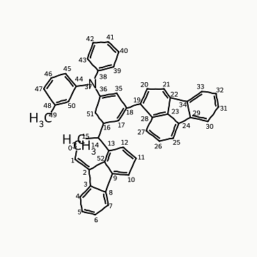 C/C=C1/c2ccccc2-c2cccc(C(C)C3C=C(c4ccc5c6c(cccc46)-c4ccccc4-5)C=C(N(c4ccccc4)c4cccc(C)c4)C3)c21